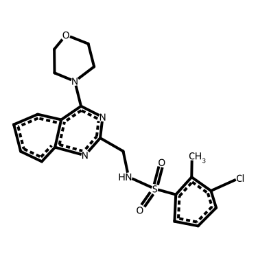 Cc1c(Cl)cccc1S(=O)(=O)NCc1nc(N2CCOCC2)c2ccccc2n1